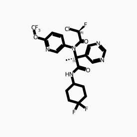 C[C@@](C(=O)NC1CCC(F)(F)CC1)(c1cncnc1)N(C(=O)[C@H](F)Cl)c1ccc(OC(F)(F)F)nc1